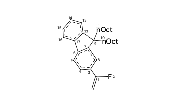 C=C(F)c1ccc2c(c1)C(CCCCCCCC)(CCCCCCCC)c1ccccc1-2